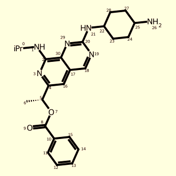 CC(C)Nc1nc([C@@H](C)OC(=O)c2ccccc2)cc2cnc(NC3CCC(N)CC3)nc12